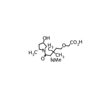 CN[C@H](C(=O)N1C[C@H](O)C[C@H]1C)C(C)(C)CCOCC(=O)O